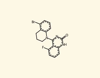 O=c1nc(N2CCCc3c(Br)cccc32)c2c(F)cccc2[nH]1